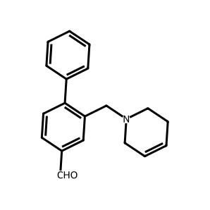 O=Cc1ccc(-c2ccccc2)c(CN2CC=CCC2)c1